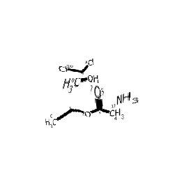 CCOC(C)=O.CO.ClCCl.N